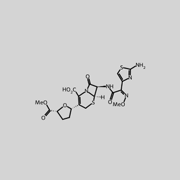 CO/N=C(\C(=O)N[C@@H]1C(=O)N2C(C(=O)O)=C([C@@H]3CC[C@H](C(=O)OC)O3)CS[C@H]12)c1csc(N)n1